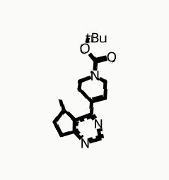 CC1CCc2ncnc(C3=CCN(C(=O)OC(C)(C)C)CC3)c21